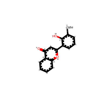 COc1cccc(-c2cc(=O)c3ccccc3o2)c1O